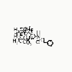 CC(C)(C)OC(=O)N1CC(NC(=O)OCc2ccccc2)C[C@@H]1C(O[Si](C)(C)C)C(F)(F)F